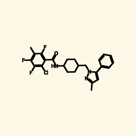 Cc1cc(-c2ccccc2)n(CC2CCC(NC(=O)c3c(F)c(C)c(F)c(F)c3Cl)CC2)n1